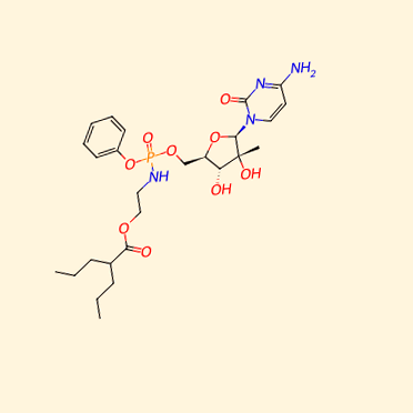 CCCC(CCC)C(=O)OCCNP(=O)(OC[C@H]1O[C@@H](n2ccc(N)nc2=O)[C@](C)(O)[C@@H]1O)Oc1ccccc1